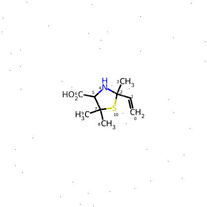 C=CC1(C)NC(C(=O)O)C(C)(C)S1